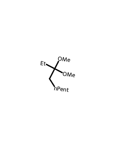 CCCCCCC(CC)(OC)OC